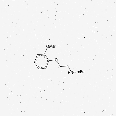 CCCCNCCOc1ccccc1OC